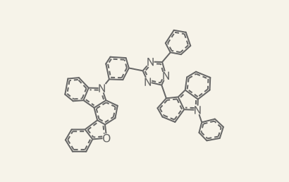 c1ccc(-c2nc(-c3cccc(-n4c5ccccc5c5c6c(ccc54)oc4ccccc46)c3)nc(-c3cccc4c3c3ccccc3n4-c3ccccc3)n2)cc1